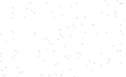 Cc1cc(N(C)C)cn1C1CCOc2ccccc21